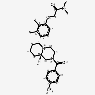 Cc1c(OCC(=O)N(C)C)ccc([C@H]2CCC[C@H]3CN(C(=O)c4ccc(C(F)(F)F)cc4)CCN32)c1C